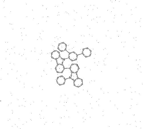 c1ccc(-c2ccc(-n3c4ccccc4c4cccc(-c5cccc6c7ccccc7n(-c7ccccc7)c56)c43)c(-c3ccccc3)c2)cc1